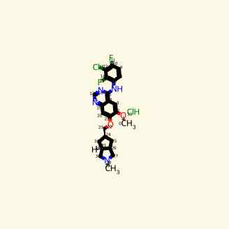 COc1cc2c(Nc3ccc(F)c(Cl)c3F)ncnc2cc1OC[C@H]1CC2CN(C)C[C@H]2C1.Cl